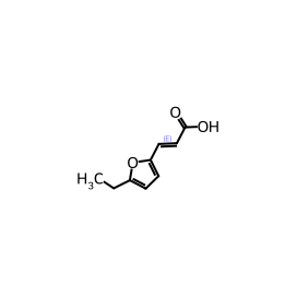 CCc1ccc(/C=C/C(=O)O)o1